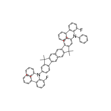 CC1(C)c2cc(N(c3ccccc3)c3c(F)cccc3-c3ccccc3)ccc2-c2cc3cc4c(cc3cc21)-c1ccc(N(c2ccccc2)c2c(F)cccc2-c2ccccc2)cc1C4(C)C